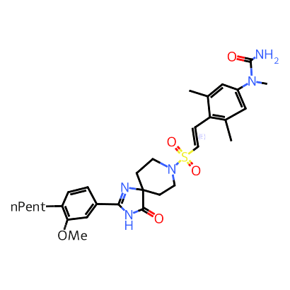 CCCCCc1ccc(C2=NC3(CCN(S(=O)(=O)/C=C/c4c(C)cc(N(C)C(N)=O)cc4C)CC3)C(=O)N2)cc1OC